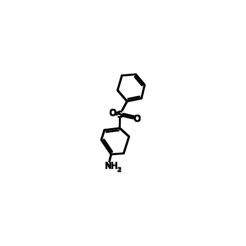 NC1=CC=C(S(=O)(=O)C2=CC=CCC2)CC1